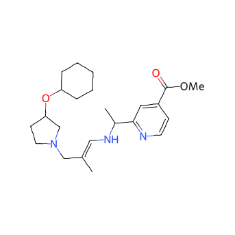 COC(=O)c1ccnc(C(C)N/C=C(\C)CN2CCC(OC3CCCCC3)C2)c1